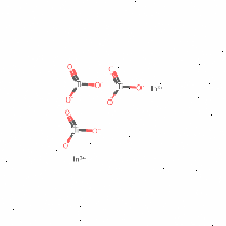 [In+3].[In+3].[O]=[Ti]([O-])[O-].[O]=[Ti]([O-])[O-].[O]=[Ti]([O-])[O-]